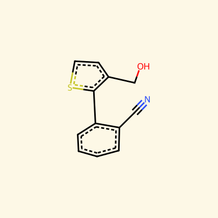 N#Cc1ccccc1-c1sccc1CO